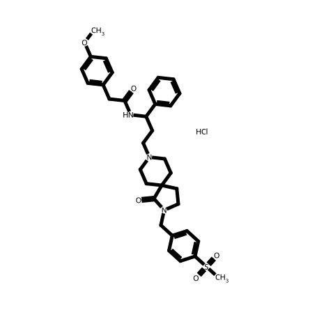 COc1ccc(CC(=O)NC(CCN2CCC3(CC2)CCN(Cc2ccc(S(C)(=O)=O)cc2)C3=O)c2ccccc2)cc1.Cl